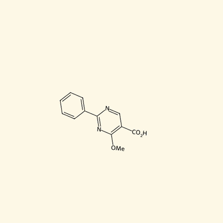 COc1nc(-c2ccccc2)ncc1C(=O)O